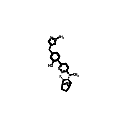 CN(c1ccc(-c2ccc(Cc3cnn(C)c3)cc2O)nn1)[C@@H]1CC2CCC(N2)[C@@H]1F